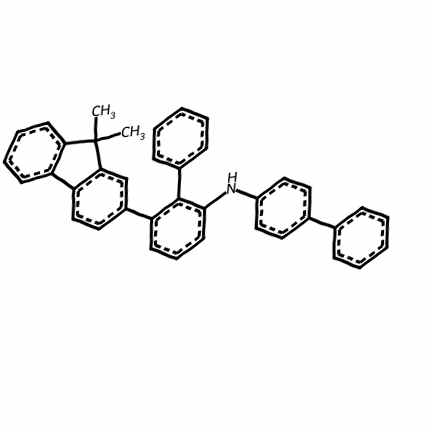 CC1(C)c2ccccc2-c2ccc(-c3cccc(Nc4ccc(-c5ccccc5)cc4)c3-c3ccccc3)cc21